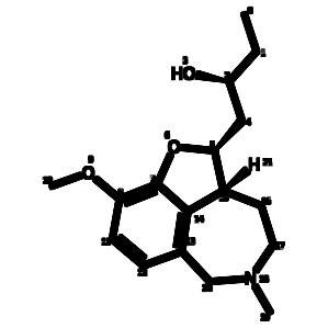 CC[C@H](O)C[C@@H]1Oc2c(OC)ccc3c2[C@H]1CCN(C)C3